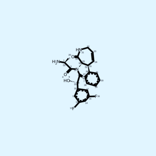 C[C@H](N)C(=O)N(C(=O)[C@@H](O)c1cc(F)cc(F)c1)[C@@H]1C(=O)NCC=C[C@H]1c1ccccc1